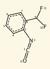 O=C=Nc1ccccc1C(F)F